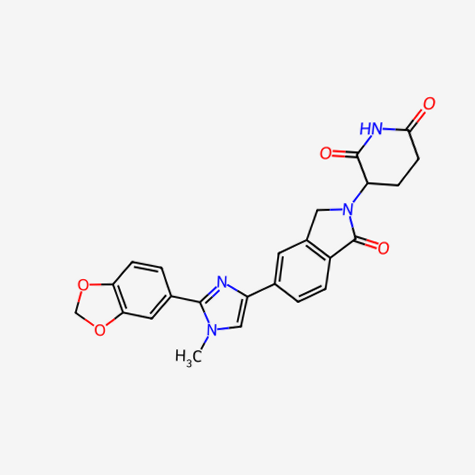 Cn1cc(-c2ccc3c(c2)CN(C2CCC(=O)NC2=O)C3=O)nc1-c1ccc2c(c1)OCO2